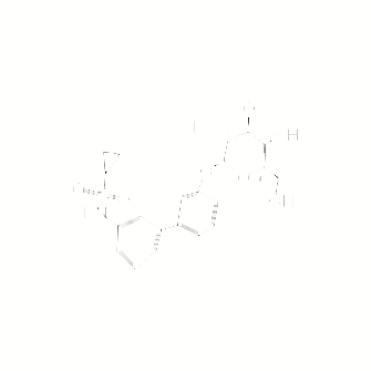 O=S(=O)(Nc1cccc(-c2cccc(O[C@@H]3O[C@H](CO)[C@H](O)[C@H](O)[C@H]3O)c2)c1)C1CC1